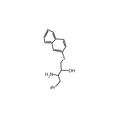 CC(C)CC(N)C(O)CSc1ccc2ccccc2c1